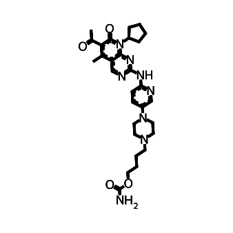 CC(=O)c1c(C)c2cnc(Nc3ccc(N4CCN(CCCCOC(N)=O)CC4)cn3)nc2n(C2CCCC2)c1=O